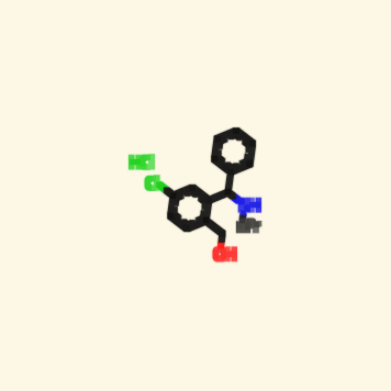 CCCNC(c1ccccc1)c1cc(Cl)ccc1CO.Cl